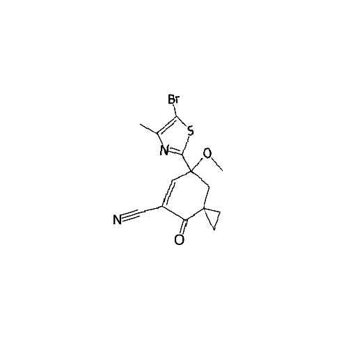 COC1(c2nc(C)c(Br)s2)C=C(C#N)C(=O)C2(CC2)C1